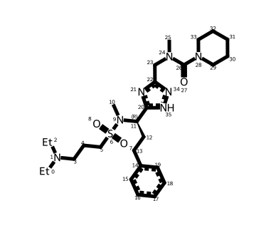 CCN(CC)CCCS(=O)(=O)N(C)[C@H](CCc1ccccc1)c1nc(CN(C)C(=O)N2CCCCC2)n[nH]1